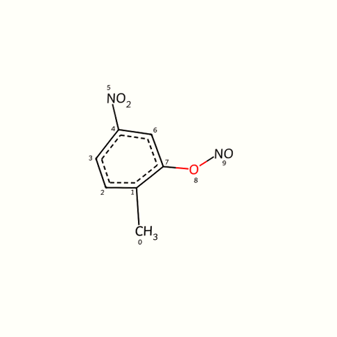 Cc1ccc([N+](=O)[O-])cc1ON=O